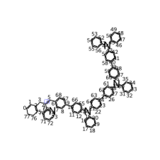 C1=CC(C/C(=C/c2ccc(-c3ccc(N(c4ccccc4)c4ccc(-c5ccc(N(c6ccccc6)c6ccc(-c7ccc(N(c8ccccc8)c8ccccc8)cc7)cc6)cc5)cc4)cc3)cc2)c2ccccn2)=CCC1